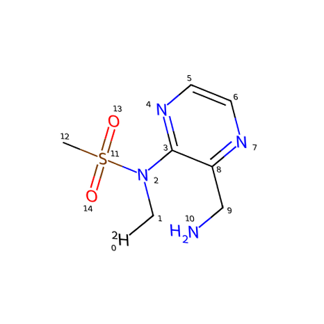 [2H]CN(c1nccnc1CN)S(C)(=O)=O